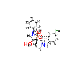 CCN(CC1=CCC(F)C=C1)C[C@]1(C)[C@@H](O)CN(c2ccccc2)S1(=O)=O